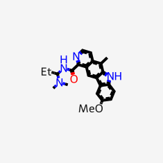 CCC(NC(=O)c1nccc2c(C)c3[nH]c4ccc(OC)cc4c3cc12)N(C)C